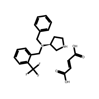 FC(F)(F)c1ccccc1CN(Cc1ccccc1)[C@H]1CCNC1.O=C(O)C=CC(=O)O